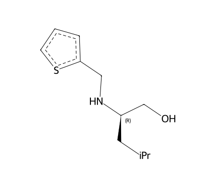 CC(C)C[C@H](CO)NCc1cccs1